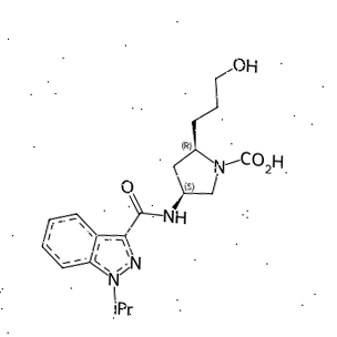 CC(C)n1nc(C(=O)N[C@H]2C[C@@H](CCCO)N(C(=O)O)C2)c2ccccc21